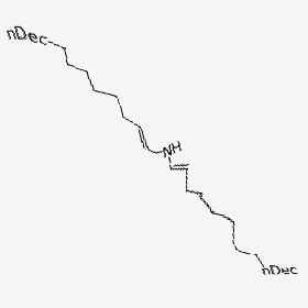 CCCCCCCCCCCCCCCCC=CNC=CCCCCCCCCCCCCCCCC